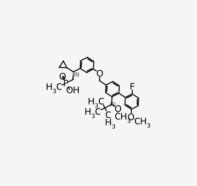 COc1ccc(F)c(-c2ccc(COc3cccc([C@@H](CP(C)(=O)O)C4CC4)c3)cc2[C@@H](OC)C(C)(C)C)c1